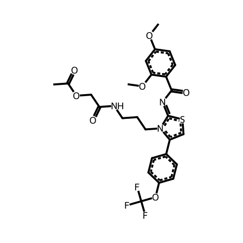 COc1ccc(C(=O)/N=c2\scc(-c3ccc(OC(F)(F)F)cc3)n2CCCNC(=O)COC(C)=O)c(OC)c1